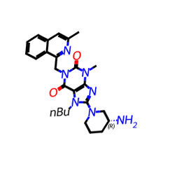 CCCCn1c(N2CCC[C@@H](N)C2)nc2c1c(=O)n(Cc1nc(C)cc3ccccc13)c(=O)n2C